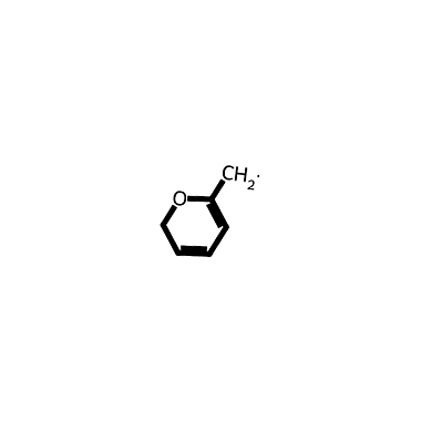 [CH2]C1=CC=CCO1